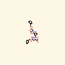 CC(=O)C(CC(=O)OCc1ccccc1)NC(=O)c1cccc(C(=O)NC(CC(=O)OCc2ccccc2)C(C)=O)c1